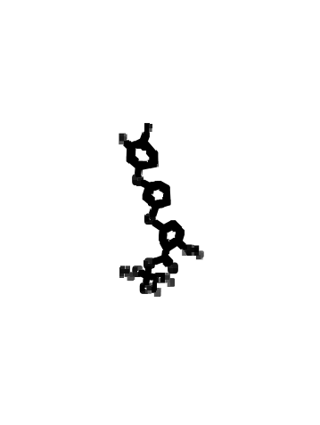 CC(C)(C)OC(=O)c1cc(Oc2cccc(Oc3ccc(F)c(F)c3)c2)ccc1N